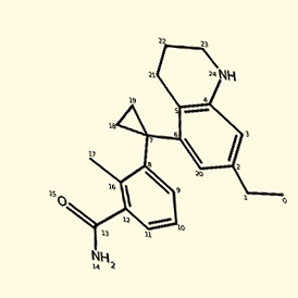 CCc1cc2c(c(C3(c4cccc(C(N)=O)c4C)CC3)c1)CCCN2